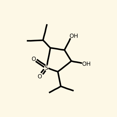 CC(C)C1C(O)C(O)C(C(C)C)S1(=O)=O